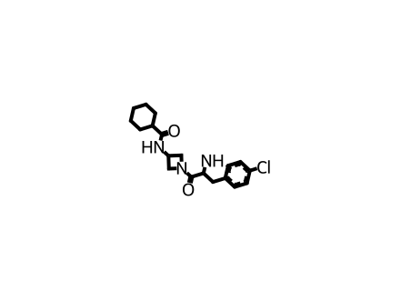 NC(Cc1ccc(Cl)cc1)C(=O)N1CC(NC(=O)C2CCCCC2)C1